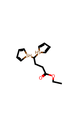 CCOC(=O)CCC([SH]1C=CC=C1)[SH]1C=CC=C1